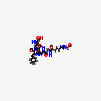 O=CNCCCCCC(=O)NCC(=O)NCC(=O)N[C@@H](Cc1ccccc1)C(=O)NCC(=O)NCO